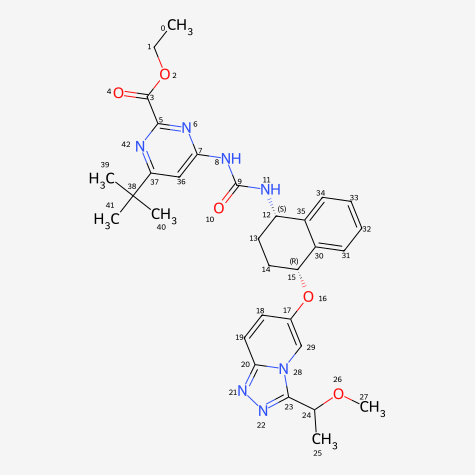 CCOC(=O)c1nc(NC(=O)N[C@H]2CC[C@@H](Oc3ccc4nnc(C(C)OC)n4c3)c3ccccc32)cc(C(C)(C)C)n1